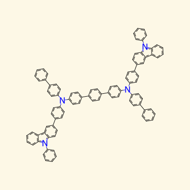 c1ccc(-c2ccc(N(c3ccc(-c4ccc(-c5ccc(N(c6ccc(-c7ccccc7)cc6)c6ccc(-c7ccc8c(c7)c7ccccc7n8-c7ccccc7)cc6)cc5)cc4)cc3)c3ccc(-c4ccc5c(c4)c4ccccc4n5-c4ccccc4)cc3)cc2)cc1